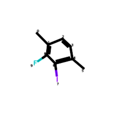 Cc1ccc(C)c(I)c1F